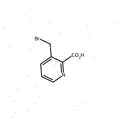 O=C(O)c1ncccc1CBr